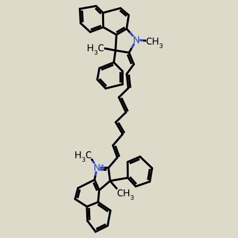 CN1/C(=C/C=C/C=C/C=C/C=C/C2=[N+](C)c3ccc4ccccc4c3C2(C)c2ccccc2)C(C)(c2ccccc2)c2c1ccc1ccccc21